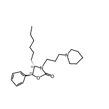 CCCCCC[C@H]1[C@H](c2ccccc2)OC(=O)N1CCCN1CCCCC1